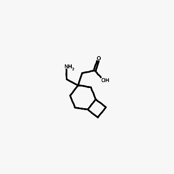 NCC1(CC(=O)O)CCC2CCC2C1